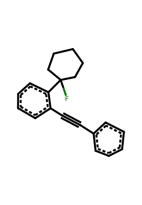 FC1(c2ccccc2C#Cc2ccccc2)CCCCC1